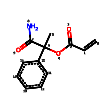 C=CC(=O)OC(C)(C(N)=O)c1ccccc1